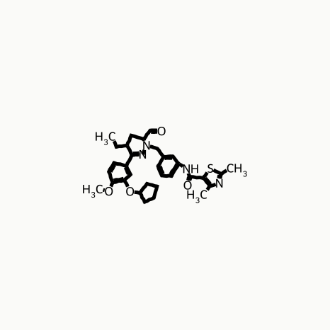 CCC1CC(C=O)N(Cc2cccc(NC(=O)c3sc(C)nc3C)c2)N=C1c1ccc(OC)c(OC2CCCC2)c1